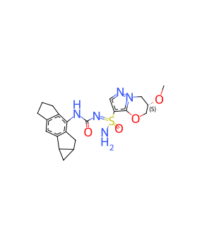 CO[C@@H]1COc2c(S(N)(=O)=NC(=O)Nc3c4c(cc5c3CC3CC53)CCC4)cnn2C1